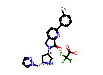 N#Cc1cccc(-c2ccc3c(n2)C(=O)N([C@H]2CN[C@H](Cn4cccn4)C2)C3)c1.O=C(O)C(F)(F)F